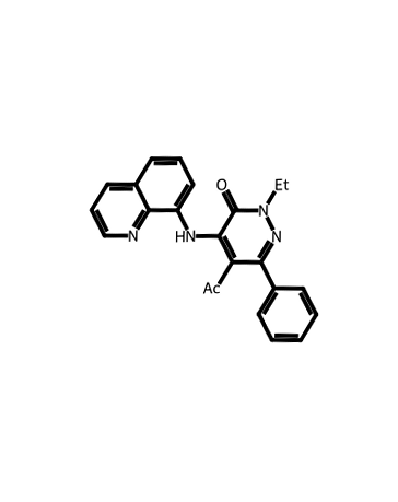 CCn1nc(-c2ccccc2)c(C(C)=O)c(Nc2cccc3cccnc23)c1=O